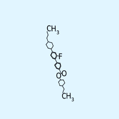 CCCCC1CCC(c2ccc(-c3ccc(C(=O)OC4CCC(CCC)CC4)cc3)c(F)c2)CC1